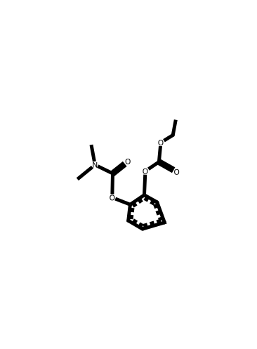 CCOC(=O)Oc1ccccc1OC(=O)N(C)C